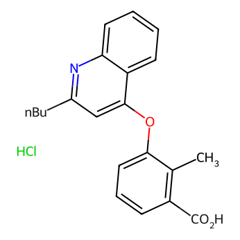 CCCCc1cc(Oc2cccc(C(=O)O)c2C)c2ccccc2n1.Cl